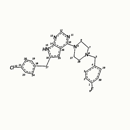 Fc1ccc(CN2CCN(c3ncnc4[nH]c(Cc5ccc(Cl)cc5)cc34)CC2)cc1